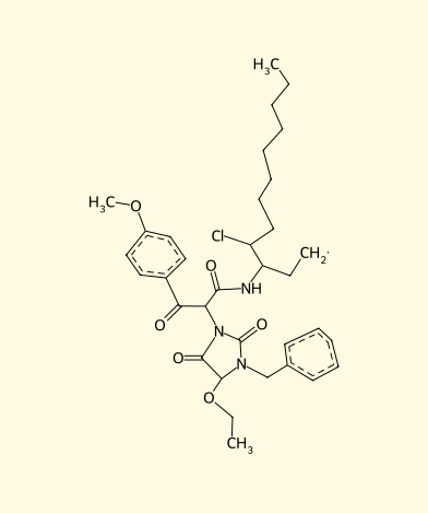 [CH2]CC(NC(=O)C(C(=O)c1ccc(OC)cc1)N1C(=O)C(OCC)N(Cc2ccccc2)C1=O)C(Cl)CCCCCCCC